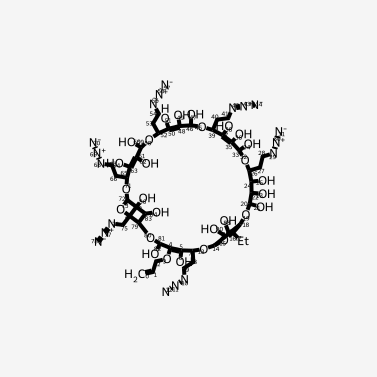 C=CCO/C1=C(\O)C(CCN=[N+]=[N-])OC2OC(CC)C(OC(O)C(O)C(O)C(CCN=[N+]=[N-])OC(O)/C(O)=C(/O)C(CCN=[N+]=[N-])OC(O)/C(O)=C(/O)C(CCN=[N+]=[N-])OC(O)/C(O)=C(\O)C(CCN=[N+]=[N-])OC3OC4(CN=[N+]=[N-])C(OC1O)C(O)C34O)C(O)C2O